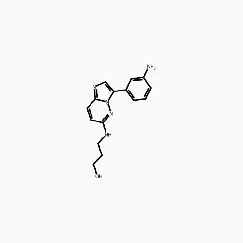 Nc1cccc(-c2cnc3ccc(NCCCO)nn23)c1